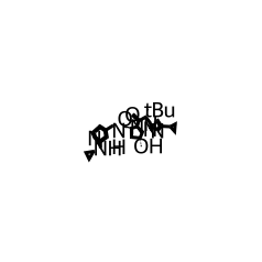 CC(C)(C)[C@@H](C(=O)N1C[C@H](O)C[C@H]1C(=O)NCc1ccnc(NC2CC2)c1)n1cc(C2CC2)nn1